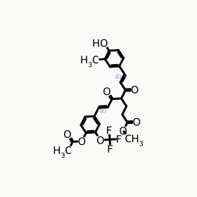 COC(=O)CCC(C(=O)/C=C/c1ccc(O)c(C)c1)C(=O)/C=C/c1ccc(OC(C)=O)c(OC(F)(F)F)c1